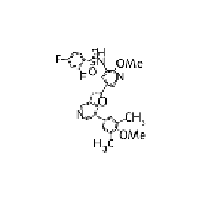 COc1ncc(-c2cc3cncc(-c4cc(C)c(OC)c(C)c4)c3o2)cc1NS(=O)(=O)c1ccc(F)cc1F